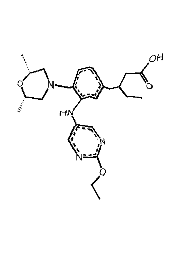 CCOc1ncc(Nc2cc(C(CC)CC(=O)O)ccc2N2C[C@@H](C)O[C@@H](C)C2)cn1